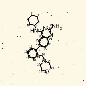 Nc1nc(NC2CCCCC2)c2cc(-c3ccccc3CN3CCOCC3)ccc2n1